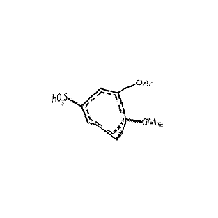 COc1ccc(S(=O)(=O)O)cc1OC(C)=O